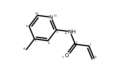 C=CC(=O)Nc1cc(C)ccn1